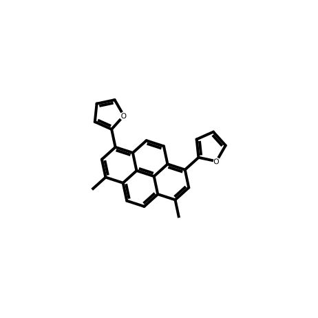 Cc1cc(-c2ccco2)c2ccc3c(-c4ccco4)cc(C)c4ccc1c2c43